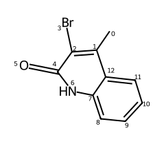 Cc1c(Br)c(=O)[nH]c2ccccc12